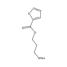 CCCCCCCCCOC(=O)c1ccco1